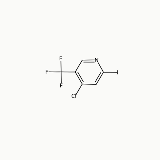 FC(F)(F)c1cnc(I)cc1Cl